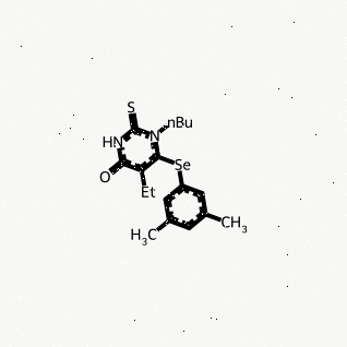 CCCCn1c([Se]c2cc(C)cc(C)c2)c(CC)c(=O)[nH]c1=S